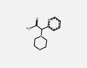 NC(=O)C(c1ccccn1)N1CC[N]CC1